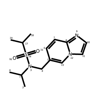 CC(C)N(Cc1ccc2nccn2c1)S(=O)(=O)C(C)C